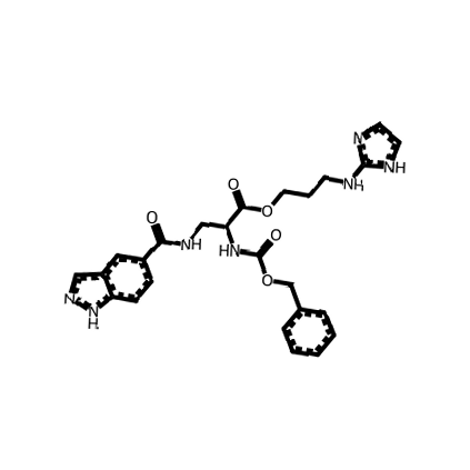 O=C(NC(CNC(=O)c1ccc2[nH]ncc2c1)C(=O)OCCCNc1ncc[nH]1)OCc1ccccc1